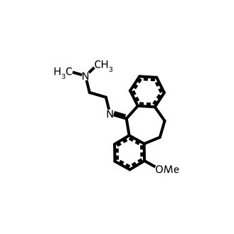 COc1cccc2c1CCc1ccccc1C2=NCCN(C)C